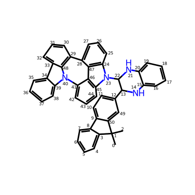 CC1(C)c2ccccc2-c2ccc(C3Nc4ccccc4NC3n3c4cccc5c6cccc7c8ccccc8n(c8cccc3c8c54)c67)cc21